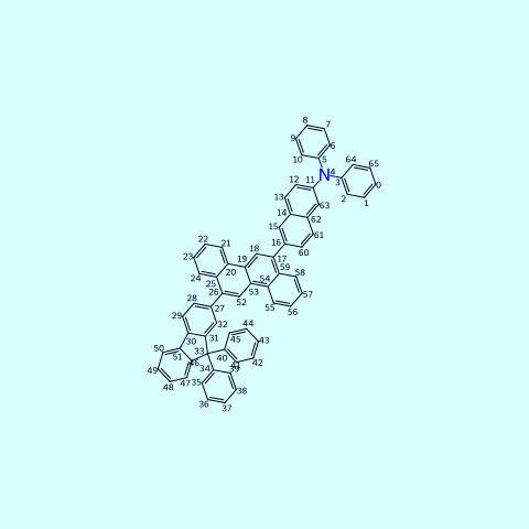 c1ccc(N(c2ccccc2)c2ccc3cc(-c4cc5c6ccccc6c(-c6ccc7c(c6)C(c6ccccc6)(c6ccccc6)c6ccccc6-7)cc5c5ccccc45)ccc3c2)cc1